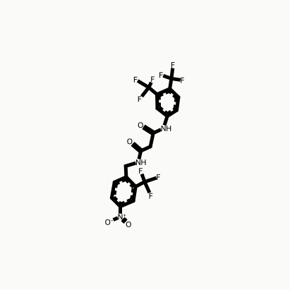 O=C(CC(=O)Nc1ccc(C(F)(F)F)c(C(F)(F)F)c1)NCc1ccc([N+](=O)[O-])cc1C(F)(F)F